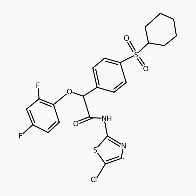 O=C(Nc1n[c]c(Cl)s1)C(Oc1ccc(F)cc1F)c1ccc(S(=O)(=O)C2CCCCC2)cc1